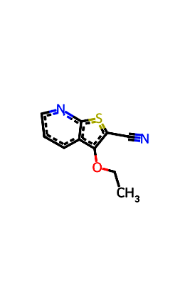 CCOc1c(C#N)sc2ncccc12